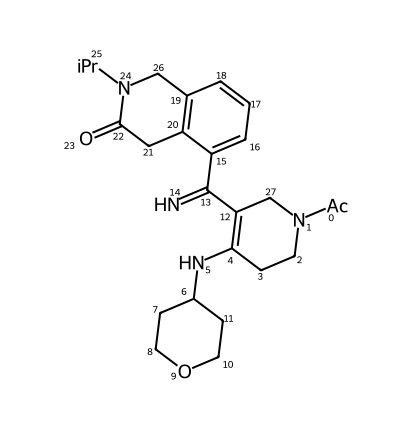 CC(=O)N1CCC(NC2CCOCC2)=C(C(=N)c2cccc3c2CC(=O)N(C(C)C)C3)C1